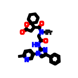 Cc1ccc(-n2cc(-c3ccccc3)nc2NC(=O)CN(C(=O)C2CC(=O)OC23CCCCC3)C(C)C)cn1